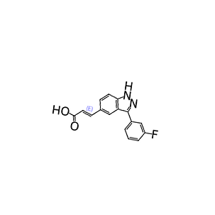 O=C(O)/C=C/c1ccc2[nH]nc(-c3cccc(F)c3)c2c1